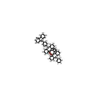 c1ccc(N2c3ccccc3C3(c4ccccc42)c2ccccc2C2(c4ccccc4N(c4ccc(-n5c6ccccc6c6ncccc65)cn4)c4ccccc42)c2ccccc23)cc1